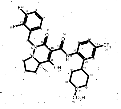 C[C@]12CCCN1N(Cc1cccc(F)c1F)C(=O)C(C(=O)Nc1ccc(C(F)(F)F)cc1C1CCN(C(=O)O)CC1)=C2O